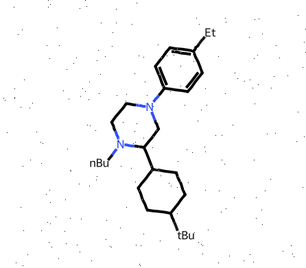 CCCCN1CCN(c2ccc(CC)cc2)CC1C1CCC(C(C)(C)C)CC1